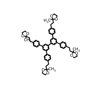 CC1(CCc2ccc(-c3cc(-c4ccc(CCC5(C)OCCO5)cc4)cc(-c4cc(-c5ccc(CCC6(C)OCCO6)cc5)cc(-c5ccc(CCC6(C)OCCO6)cc5)c4)c3)cc2)OCCO1